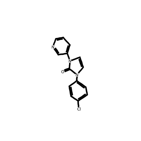 O=c1n(-c2ccc(Cl)cc2)ccn1-c1cccnc1